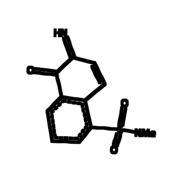 CNS(=O)(=O)c1cccc2c1C=CC(=N)C2=O